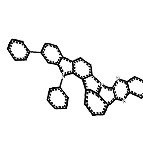 c1ccc(-c2ccc3c4ccc5c(c6cccc7c8nc9ccccc9nc8n5c76)c4n(-c4ccccc4)c3c2)cc1